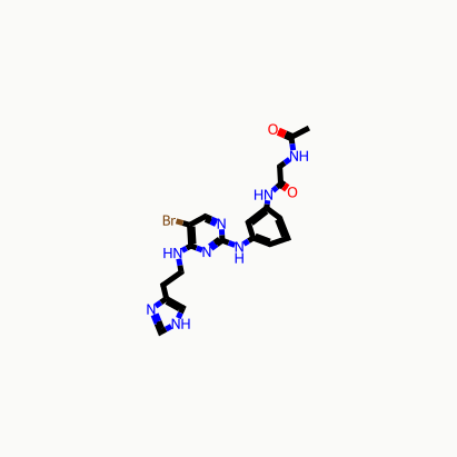 CC(=O)NCC(=O)Nc1cccc(Nc2ncc(Br)c(NCCc3c[nH]cn3)n2)c1